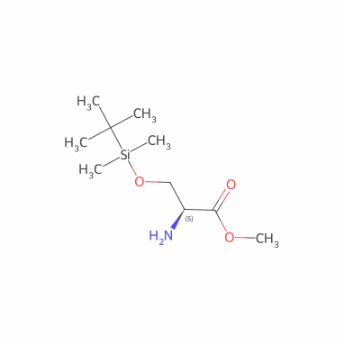 COC(=O)[C@@H](N)CO[Si](C)(C)C(C)(C)C